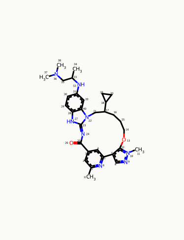 Cc1cc2cc(n1)-c1cnn(C)c1OCCCC(C1CC1)CN1/C(=N/C2=O)Nc2ccc(NC(C)CN(C)C)cc21